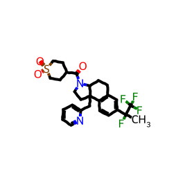 CC(F)(c1ccc2c(c1)CCC1N(C(=O)C3CCS(=O)(=O)CC3)CCC21Cc1ccccn1)C(F)(F)F